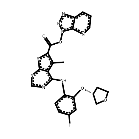 Cc1c(C(=O)On2nnc3cccnc32)sc2ncnc(Nc3ccc(F)cc3O[C@@H]3CCOC3)c12